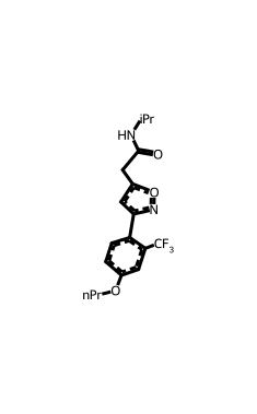 CCCOc1ccc(-c2cc(CC(=O)NC(C)C)on2)c(C(F)(F)F)c1